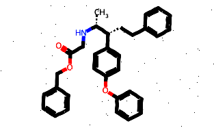 C[C@@H](NCC(=O)OCc1ccccc1)[C@H](CCc1ccccc1)c1ccc(Oc2ccccc2)cc1